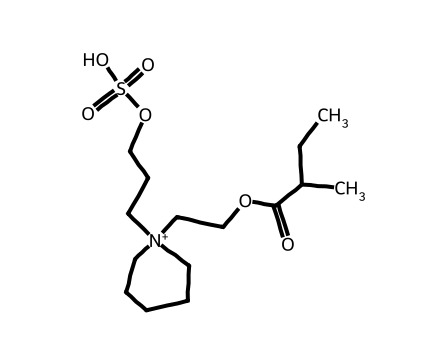 CCC(C)C(=O)OCC[N+]1(CCCOS(=O)(=O)O)CCCCC1